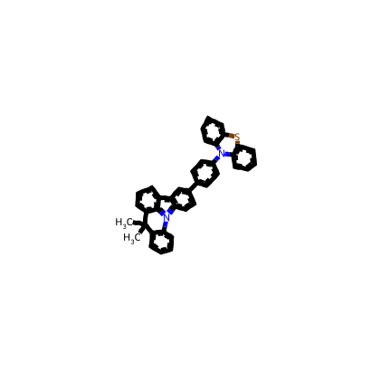 CC1(C)c2ccccc2-n2c3ccc(-c4ccc(N5c6ccccc6Sc6ccccc65)cc4)cc3c3cccc1c32